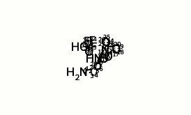 NCC1CCc2ccc(NC(=O)CN(C(=O)c3ccccc3)c3ccccc3)cc21.O=C(O)C(F)(F)F